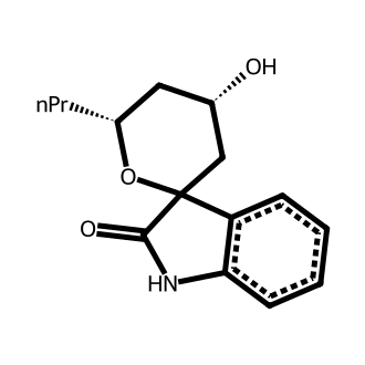 CCC[C@@H]1C[C@H](O)CC2(O1)C(=O)Nc1ccccc12